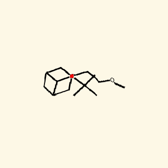 COCCN1CC2CC(C1)C2OC(C)(C)C